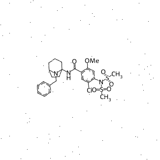 COc1cc(N(S(C)(=O)=O)S(C)(=O)=O)c(Cl)cc1C(=O)NC12CCCC(CC1)N2Cc1ccccc1